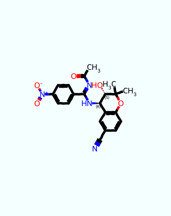 CC(=O)N=C(N[C@@H]1c2cc(C#N)ccc2OC(C)(C)[C@H]1O)c1ccc([N+](=O)[O-])cc1